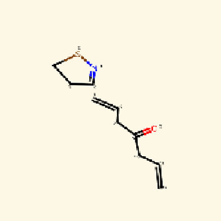 C1=NSCC1.C=CCC(=O)CC=C